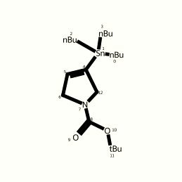 CCC[CH2][Sn]([CH2]CCC)([CH2]CCC)[C]1=CCN(C(=O)OC(C)(C)C)C1